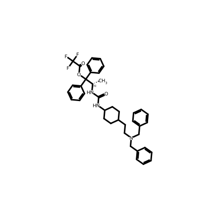 C[C@H](NC(=O)NC1CCC(CCN(Cc2ccccc2)Cc2ccccc2)CC1)C(OC(=O)C(F)(F)F)(c1ccccc1)c1ccccc1